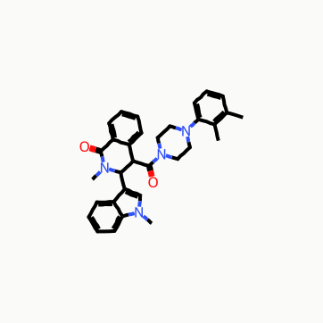 Cc1cccc(N2CCN(C(=O)C3c4ccccc4C(=O)N(C)C3c3cn(C)c4ccccc34)CC2)c1C